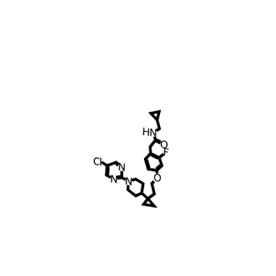 O=C(Cc1ccc(OCCC2(C3CCN(c4ncc(Cl)cn4)CC3)CC2)cc1F)NCC1CC1